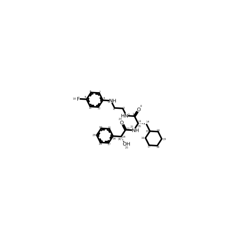 O=C(NCCNc1ccc(F)cc1)[C@H](CC1CCCCC1)NC(=O)[C@H](O)c1ccccc1